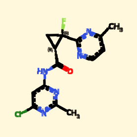 Cc1ccnc([C@@]2(F)C[C@@H]2C(=O)Nc2cc(Cl)nc(C)n2)n1